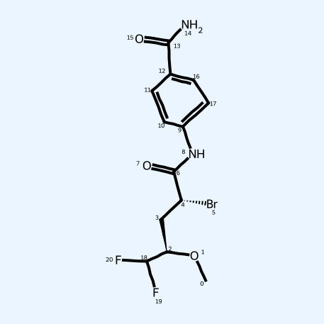 CO[C@H](C[C@@H](Br)C(=O)Nc1ccc(C(N)=O)cc1)C(F)F